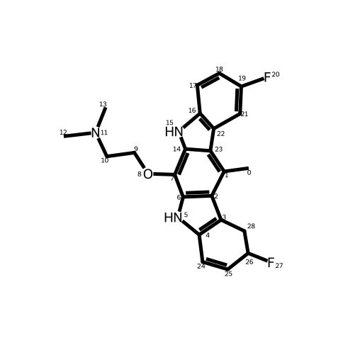 Cc1c2c3c([nH]c2c(OCCN(C)C)c2[nH]c4ccc(F)cc4c12)C=CC(F)C3